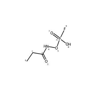 CCC(=O)NOP(=O)(O)F